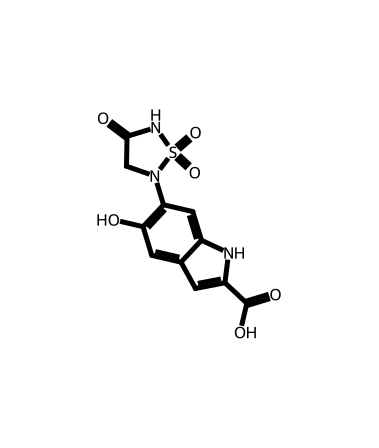 O=C1CN(c2cc3[nH]c(C(=O)O)cc3cc2O)S(=O)(=O)N1